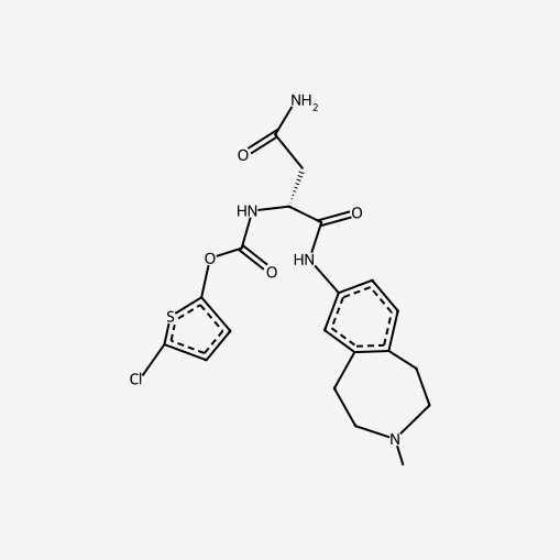 CN1CCc2ccc(NC(=O)[C@@H](CC(N)=O)NC(=O)Oc3ccc(Cl)s3)cc2CC1